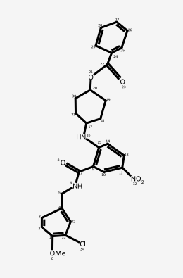 COc1ccc(CNC(=O)c2cc([N+](=O)[O-])ccc2NC2CCC(OC(=O)c3ccccc3)CC2)cc1Cl